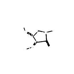 CN1CC(=N\O)/C(=N\O)C1=O